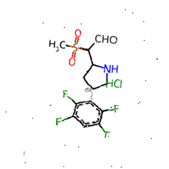 CS(=O)(=O)C(C=O)C1C[C@@H](c2c(F)c(F)cc(F)c2F)CN1.Cl